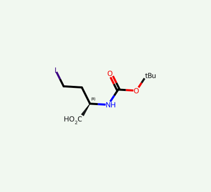 CC(C)(C)OC(=O)N[C@H](CCI)C(=O)O